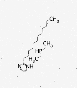 CCCCCCCCCCCCc1ncc[nH]1.CCPCC